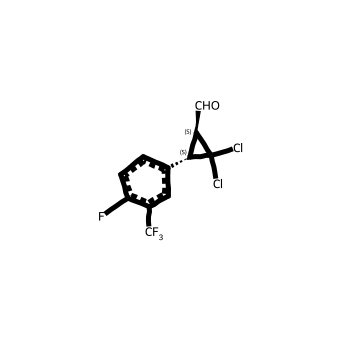 O=C[C@@H]1[C@@H](c2ccc(F)c(C(F)(F)F)c2)C1(Cl)Cl